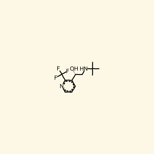 CC(C)(C)NC[C@@H](O)c1cccnc1C(F)(F)F